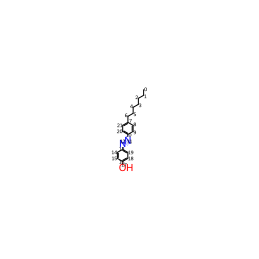 CCCCCCCc1ccc(/N=N/c2ccc(O)cc2)cc1